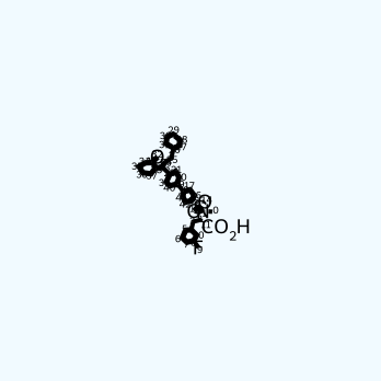 CN([C@@H](Cc1cccc(F)c1)C(=O)O)S(=O)(=O)c1ccc(-c2ccc(-c3c(Cc4ccccc4)oc4ccccc34)cc2)cc1